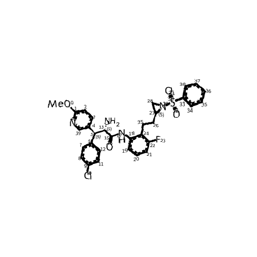 COc1ccc([C@H](c2ccc(Cl)cc2)[C@H](N)C(=O)Nc2cccc(F)c2CC[C@H]2CN2S(=O)(=O)c2ccccc2)cn1